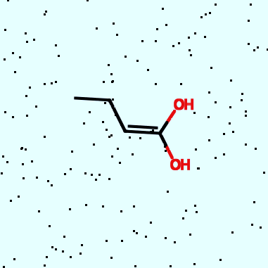 CCC=C(O)O